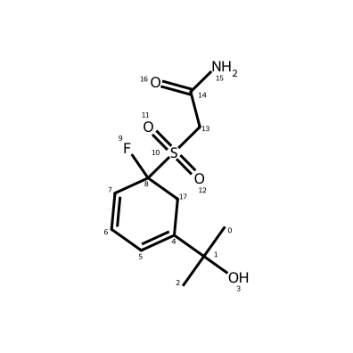 CC(C)(O)C1=CC=CC(F)(S(=O)(=O)CC(N)=O)C1